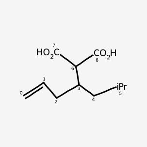 C=CCC(CC(C)C)C(C(=O)O)C(=O)O